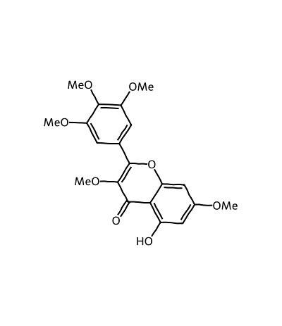 COc1cc(O)c2c(=O)c(OC)c(-c3cc(OC)c(OC)c(OC)c3)oc2c1